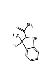 CC1(C)c2ccccc2NC1C(N)=O